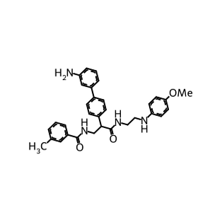 COc1ccc(NCCNC(=O)C(CNC(=O)c2cccc(C)c2)c2ccc(-c3cccc(N)c3)cc2)cc1